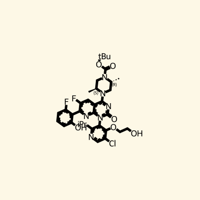 CC(C)c1ncc(Cl)c(OCCO)c1-n1c(=O)nc(N2C[C@@H](C)N(C(=O)OC(C)(C)C)C[C@@H]2C)c2cc(F)c(-c3c(O)cccc3F)nc21